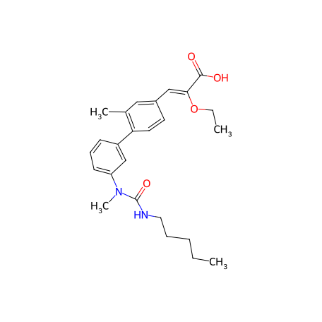 CCCCCNC(=O)N(C)c1cccc(-c2ccc(C=C(OCC)C(=O)O)cc2C)c1